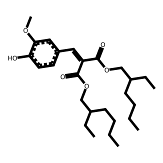 CCCCC(CC)COC(=O)C(=Cc1ccc(O)c(OC)c1)C(=O)OCC(CC)CCCC